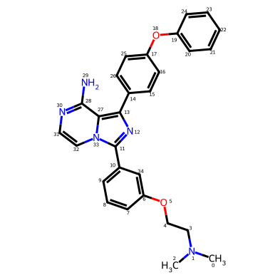 CN(C)CCOc1cccc(-c2nc(-c3ccc(Oc4ccccc4)cc3)c3c(N)nccn23)c1